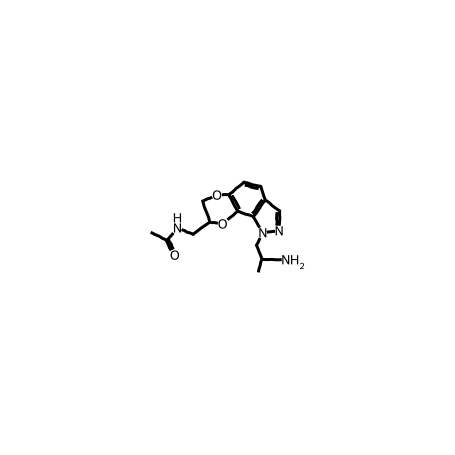 CC(=O)NCC1COc2ccc3cnn(CC(C)N)c3c2O1